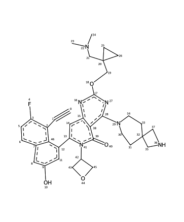 C#Cc1c(F)ccc2cc(O)cc(-c3cc4nc(OCC5(CN(C)C)CC5)nc(N5CCC6(CC5)CNC6)c4c(=O)n3C3COC3)c12